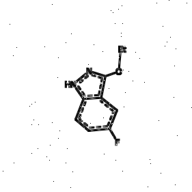 CCOc1n[nH]c2ccc(F)cc12